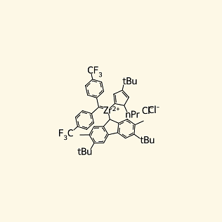 CCCC1C=C(C(C)(C)C)C=[C]1[Zr+2](=[C](c1ccc(C(F)(F)F)cc1)c1ccc(C(F)(F)F)cc1)[CH]1c2cc(C)c(C(C)(C)C)cc2-c2cc(C(C)(C)C)c(C)cc21.[Cl-].[Cl-]